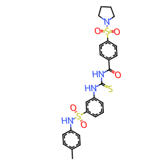 Cc1ccc(NS(=O)(=O)c2cccc(NC(=S)NC(=O)c3ccc(S(=O)(=O)N4CCCC4)cc3)c2)cc1